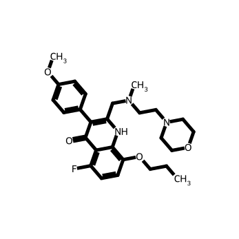 CCCOc1ccc(F)c2c(=O)c(-c3ccc(OC)cc3)c(CN(C)CCN3CCOCC3)[nH]c12